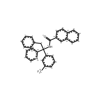 O=C(NC(Cc1ccccc1)(c1cccc(C(F)(F)F)c1)c1ccccn1)c1ccc2ccccc2c1